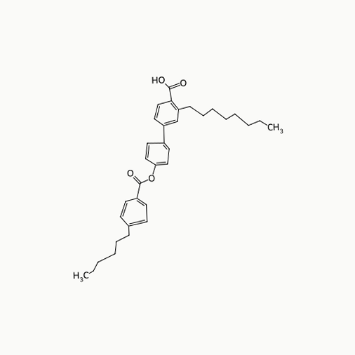 CCCCCCCCc1cc(-c2ccc(OC(=O)c3ccc(CCCCCC)cc3)cc2)ccc1C(=O)O